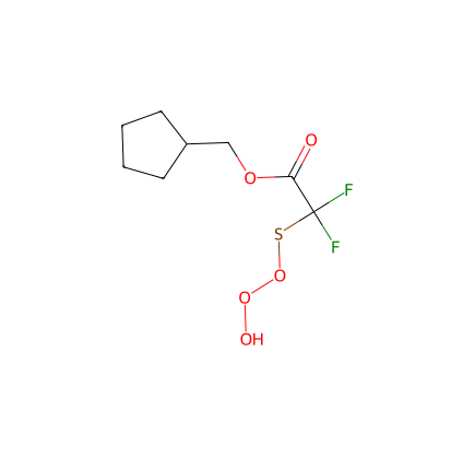 O=C(OCC1CCCC1)C(F)(F)SOOO